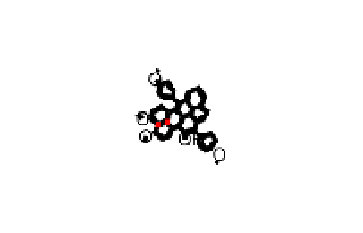 COc1ccc(-c2c(-c3ccc(OC)cc3)c3c(-c4ccc(OC)cc4)c(O)c(-c4ccc(OC)cc4)c4ccc5cccc2c5c43)cc1